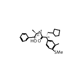 CSc1ccc([C@@H](CC2CCCC2)C(=O)N(C)[C@H](C)[C@H](O)c2ccccc2)cc1C